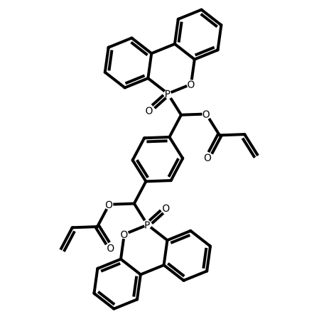 C=CC(=O)OC(c1ccc(C(OC(=O)C=C)P2(=O)Oc3ccccc3-c3ccccc32)cc1)P1(=O)Oc2ccccc2-c2ccccc21